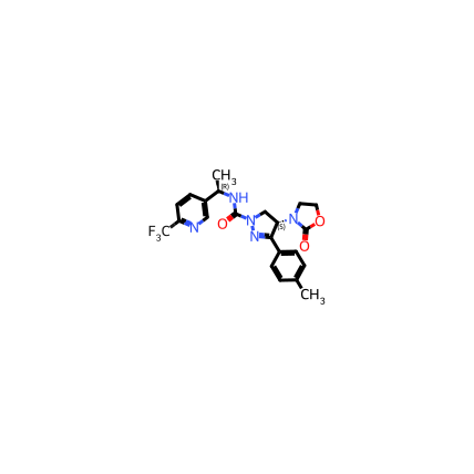 Cc1ccc(C2=NN(C(=O)N[C@H](C)c3ccc(C(F)(F)F)nc3)C[C@@H]2N2CCOC2=O)cc1